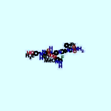 COc1nc2[nH]cc(F)c2cc1Oc1cc(N2CCC3(CC2)CC(N2CCN(S(N)(=O)=O)C[C@H]2c2ccccc2C(C)C)C3)ccc1C(=O)NS(=O)(=O)c1cnc(NCC2CCC(C)(O)CC2)c([N+](=O)[O-])c1